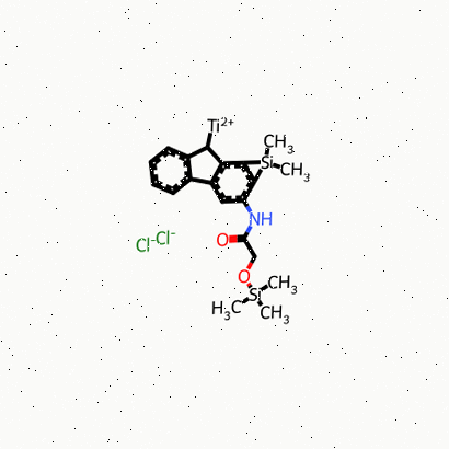 C[Si](C)(C)OCC(=O)Nc1cc2c(c3c1[Si]3(C)C)[CH]([Ti+2])c1ccccc1-2.[Cl-].[Cl-]